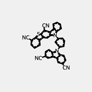 N#Cc1ccc2c(c1)c1cc(C#N)ccc1n2-c1cccc(-n2c3ccccc3c3c(C#N)c4sc5c(C#N)cccc5c4cc32)c1